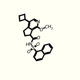 COc1ncc(C2CCC2)c2c1C(C(=O)NS(=O)(=O)c1cccc3ccccc13)CC2